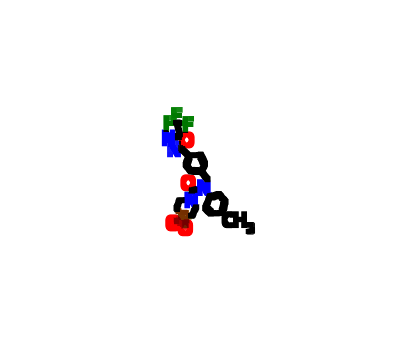 Cc1ccc(N(Cc2ccc(-c3nnc(C(F)(F)F)o3)cc2)C(=O)N2CCS(=O)(=O)CC2)cc1